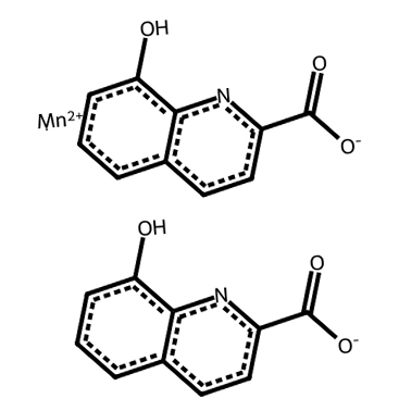 O=C([O-])c1ccc2cccc(O)c2n1.O=C([O-])c1ccc2cccc(O)c2n1.[Mn+2]